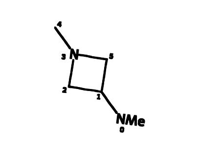 CNC1CN(C)C1